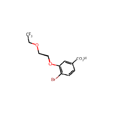 O=C(O)c1ccc(Br)c(OCCOCC(F)(F)F)c1